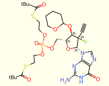 C#C[C@@]1(F)[C@H](OC2CCCCO2)[C@@H](COP(=O)(OCCSC(=O)C(C)(C)C)OCCSC(=O)C(C)(C)C)O[C@H]1n1cnc2c(=O)[nH]c(N)nc21